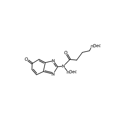 CCCCCCCCCCCCCC(=O)N(CCCCCCCCCC)C1=NC2=CC(=O)C=CC2=N1